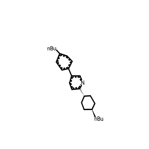 CCCCc1ccc(-c2ccc([C@H]3CC[C@H](CCCC)CC3)nc2)cc1